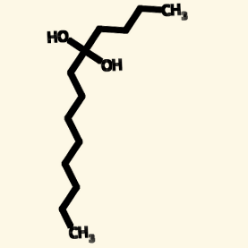 CCCCCCCCC(O)(O)CCCC